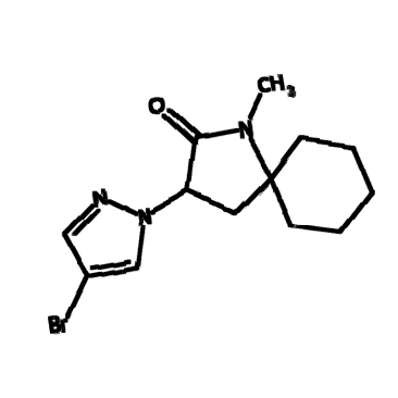 CN1C(=O)C(n2cc(Br)cn2)CC12CCCCC2